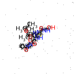 CCCC(C)(C)OCCC(C)(C)Oc1cnc(-c2nc(C(=O)NCCO)cs2)c2[nH]cc(C(=O)C(=O)N3CCN(C(=O)c4ccccc4)CC3)c12